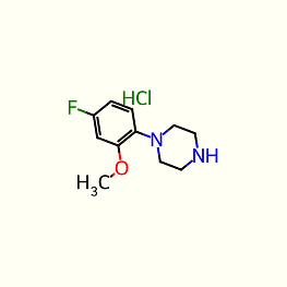 COc1cc(F)ccc1N1CCNCC1.Cl